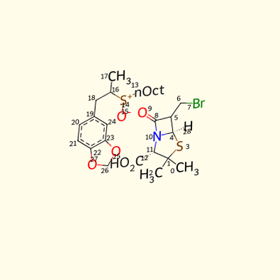 CC1(C)S[C@@H]2C(CBr)C(=O)N2[C@H]1C(=O)O.CCCCCCCC[S+]([O-])C(C)Cc1ccc2c(c1)OCO2